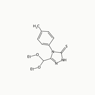 CCOC(OCC)c1n[nH]c(=S)n1-c1ccc(C)cc1